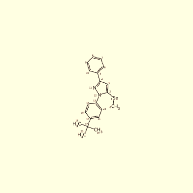 C[Se]c1cc(-c2ccccc2)nn1-c1ccc(C(C)(C)C)cc1